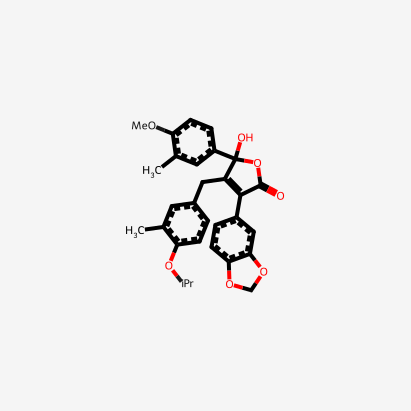 COc1ccc(C2(O)OC(=O)C(c3ccc4c(c3)OCO4)=C2Cc2ccc(OC(C)C)c(C)c2)cc1C